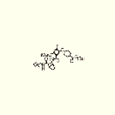 COc1cc(F)c(OC2CCC(C(=O)OC(C)(C)C)CC2)cc1C(=O)NC1C2CCC(C2)C1C(=O)NCC1(C)CCC1